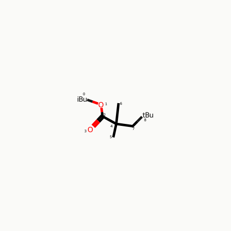 CCC(C)OC(=O)C(C)(C)CC(C)(C)C